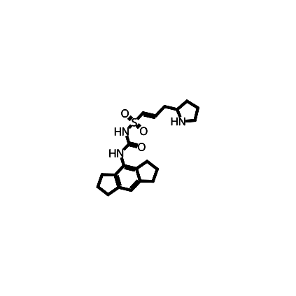 O=C(Nc1c2c(cc3c1CCC3)CCC2)NS(=O)(=O)C=CCC1CCCN1